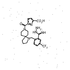 N=C(NN)c1cc(C(F)(F)F)ccc1CN1CCCC12CCN(C(=O)n1ccc(C(=O)O)n1)CC2